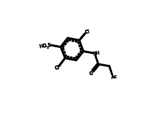 CC(=O)CC(=O)Nc1cc(Cl)c(S(=O)(=O)O)cc1Cl